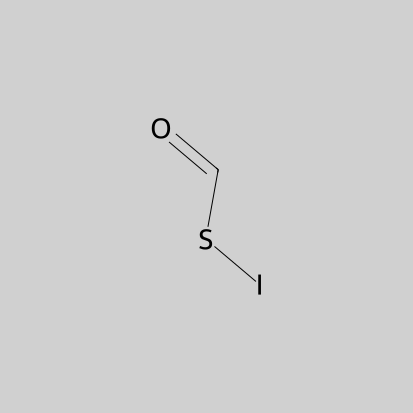 O=CSI